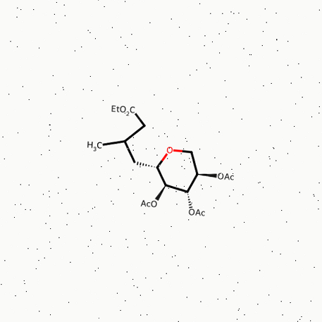 CCOC(=O)CC(C)C[C@@H]1OC[C@@H](OC(C)=O)[C@H](OC(C)=O)[C@H]1OC(C)=O